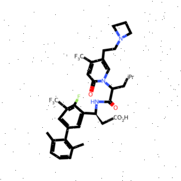 Cc1cccc(C)c1-c1cc([C@H](CC(=O)O)NC(=O)C(CC(C)C)n2cc(CCN3CCC3)c(C(F)(F)F)cc2=O)c(F)c(C(F)(F)F)c1